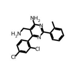 Cc1ccccc1-c1nc(N)c(CN)c(-c2ccc(Cl)cc2Cl)n1